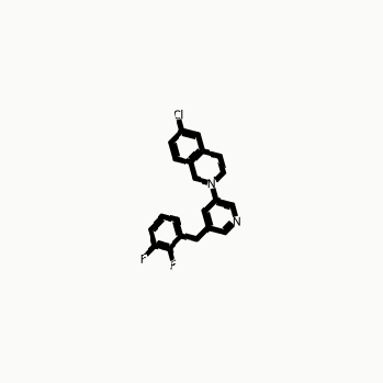 Fc1cccc(Cc2cncc(N3CCc4cc(Cl)ccc4C3)c2)c1F